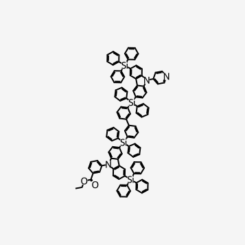 CCOC(=O)c1cccc(-n2c3ccc([Si](c4ccccc4)(c4ccccc4)c4ccccc4)cc3c3cc([Si](c4ccccc4)(c4ccccc4)c4cccc(-c5cccc([Si](c6ccccc6)(c6ccccc6)c6ccc7c(c6)c6cc([Si](c8ccccc8)(c8ccccc8)c8ccccc8)ccc6n7-c6ccncc6)c5)c4)ccc32)c1